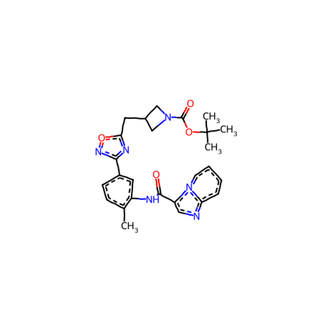 Cc1ccc(-c2noc(CC3CN(C(=O)OC(C)(C)C)C3)n2)cc1NC(=O)c1cnc2ccccn12